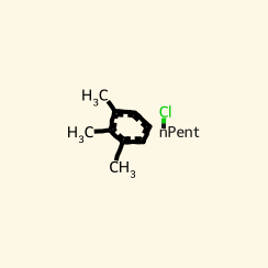 CCCCCCl.Cc1cccc(C)c1C